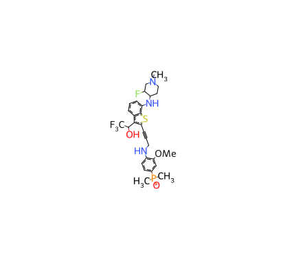 COc1cc(P(C)(C)=O)ccc1NCC#Cc1sc2c(NC3CCN(C)CC3F)cccc2c1C(O)C(F)(F)F